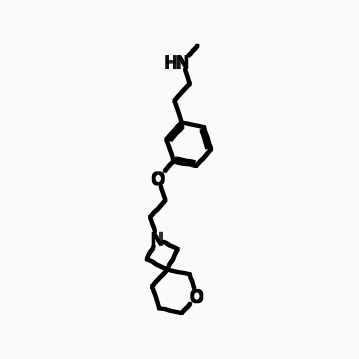 CNCCc1cccc(OCCN2CC3(CCCOC3)C2)c1